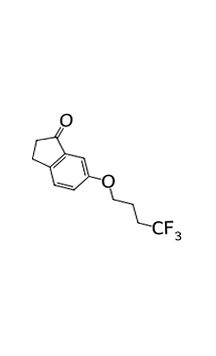 O=C1CCc2ccc(OCCCC(F)(F)F)cc21